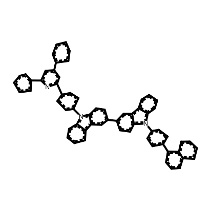 c1ccc(-c2cc(-c3ccccc3)nc(-c3ccc(-n4c5ccccc5c5cc(-c6ccc7c(c6)c6ccccc6n7-c6ccc(-c7cccc8ccccc78)cc6)ccc54)cc3)c2)cc1